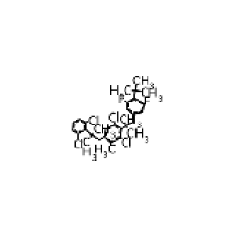 Cc1c(CC(C)(C)c2c(Cl)cccc2Cl)cc(Cl)c(C(C)(C)Cc2cc(F)c(C(C)(C)C)c(F)c2)c1Cl